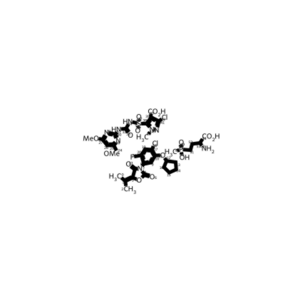 CC(C)=C1OC(=O)N(c2cc(OC3CCCC3)c(Cl)cc2F)C1=O.COc1cc(OC)nc(NC(=O)NS(=O)(=O)c2c(C(=O)O)c(Cl)nn2C)n1.CP(=O)(O)CCC(N)C(=O)O